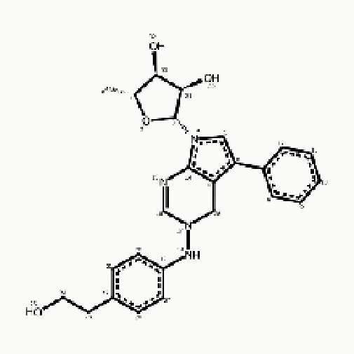 C[C@H]1O[C@@H](n2cc(-c3ccccc3)c3c2N=CN(Nc2ccc(CCO)cc2)C3)[C@H](O)[C@@H]1O